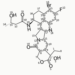 CC[C@@]1(O)C(=O)OCc2c1cc1n(c2=O)Cc2c-1nc1cc(F)c(Br)c3c1c2[C@@H](NC(=O)C[C@H](C)O)CC3